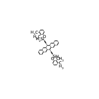 Cc1cccc(O[SiH2]C#Cc2c3cc4ccccc4cc3c(C#C[SiH2]Oc3cccc(C)c3C)c3cc4ccccc4cc23)c1C